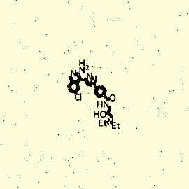 CCN(CC)CC(O)CNC(=O)c1ccc(-n2cc(-c3c(N)ncc4ccc(Cl)cc34)nn2)cc1